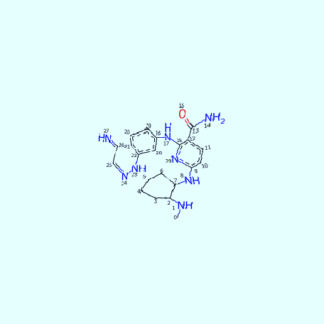 CNC1CCCCC1Nc1ccc(C(N)=O)c(Nc2cccc(N/N=C\C=N)c2)n1